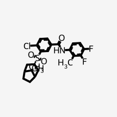 Cc1c(NC(=O)c2ccc(Cl)c(S(=O)(=O)[C@H]3CC4CCC(C3)[C@@]4(C)O)c2)ccc(F)c1F